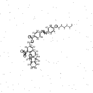 CCCCCCOc1ccc(N=Nc2ccc(C(=O)OCc3cc4c(c([N+](=O)[O-])c3)OC3(C=C4)N(C)c4ccccc4C3(C)C)cc2)cc1